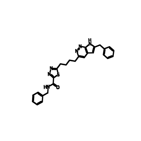 O=C(NCc1ccccc1)c1nnc(CCCCc2cc3cc(Cc4ccccc4)[nH]c3nn2)s1